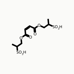 CC(COC(=O)/C=C\C(=O)OCC(C)S(=O)(=O)O)S(=O)(=O)O